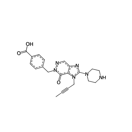 CC#CCn1c(N2CCNCC2)nc2cnn(Cc3ccc(C(=O)O)cc3)c(=O)c21